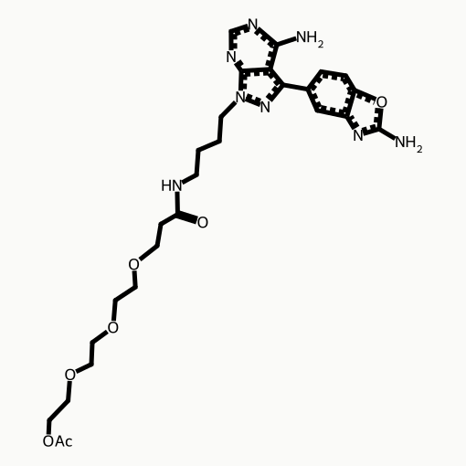 CC(=O)OCCOCCOCCOCCC(=O)NCCCCn1nc(-c2ccc3oc(N)nc3c2)c2c(N)ncnc21